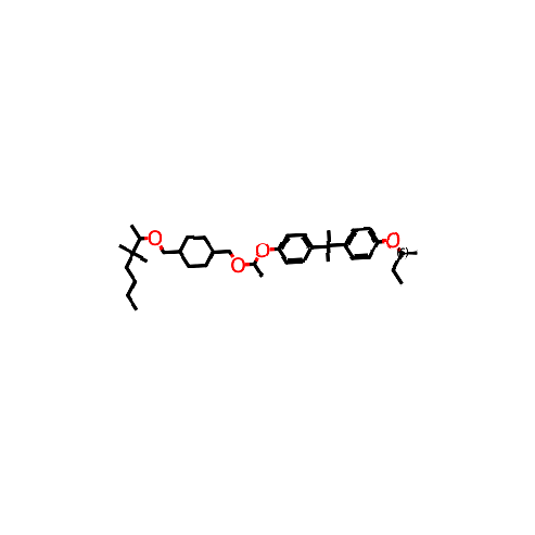 CCCCC(C)(C)C(C)OCC1CCC(COC(C)Oc2ccc(C(C)(C)c3ccc(O[C@@H](C)CC)cc3)cc2)CC1